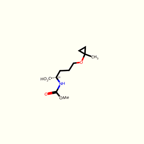 COC(=O)N[C@@H](CCCOC1(C)CC1)C(=O)O